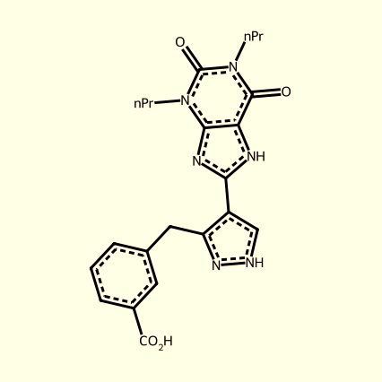 CCCn1c(=O)c2[nH]c(-c3c[nH]nc3Cc3cccc(C(=O)O)c3)nc2n(CCC)c1=O